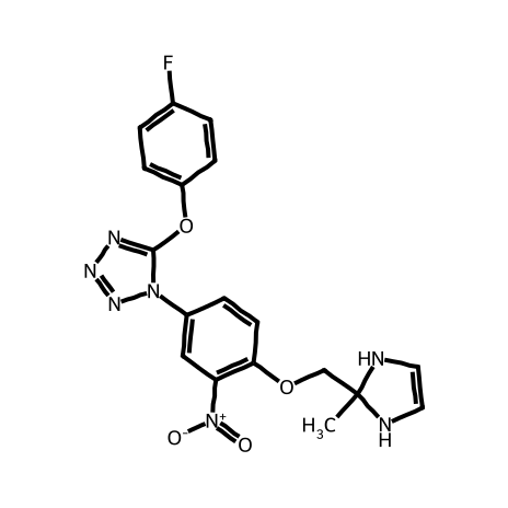 CC1(COc2ccc(-n3nnnc3Oc3ccc(F)cc3)cc2[N+](=O)[O-])NC=CN1